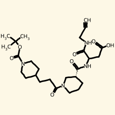 C#CCNC(=O)C(CC(=O)O)NC(=O)[C@@H]1CCCN(C(=O)CCC2CCN(C(=O)OC(C)(C)C)CC2)C1